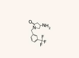 NC1CC(=O)N(Cc2cccc(C(F)(F)F)c2)C1